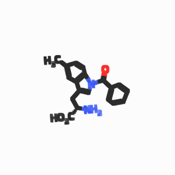 Cc1ccc2c(c1)c(C[C@H](N)C(=O)O)cn2C(=O)c1ccccc1